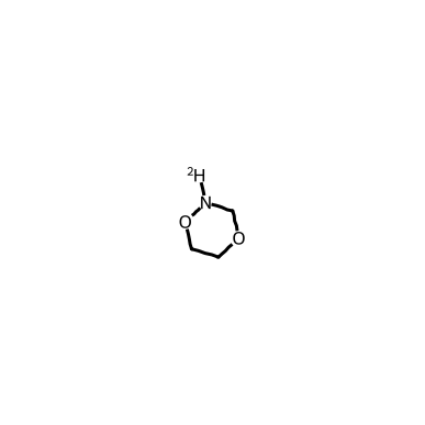 [2H]N1COCCO1